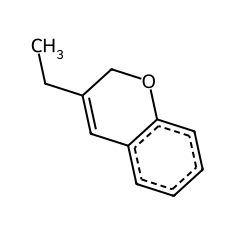 CCC1=Cc2ccccc2OC1